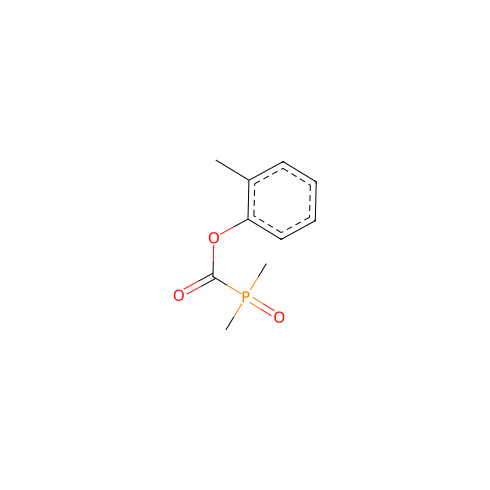 Cc1ccccc1OC(=O)P(C)(C)=O